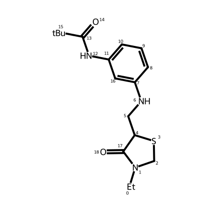 CCN1CSC(CNc2cccc(NC(=O)C(C)(C)C)c2)C1=O